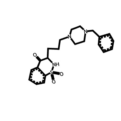 O=C1c2ccccc2S(=O)(=O)NC1CCCN1CCN(Cc2ccccc2)CC1